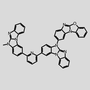 Cn1c2ccc(-c3cccc(-c4ccc5c(c4)n4c6ccccc6nc4n5-c4ccc5nc6oc7ccccc7n6c5c4)n3)cc2n2c3ccccc3nc12